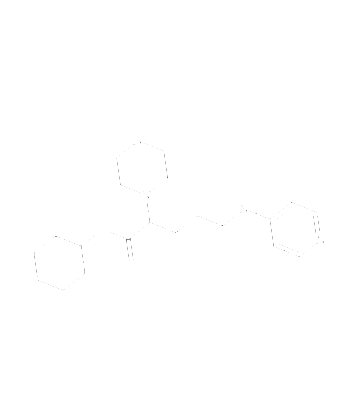 O=C(OC1CCCCC1)C(CCCNc1ccncc1)N1CCNCC1